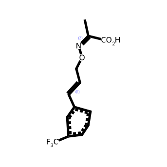 C/C(=N/OC/C=C/c1cccc(C(F)(F)F)c1)C(=O)O